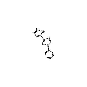 [c]1cc(-c2ccn(-c3ccccc3)n2)[nH]n1